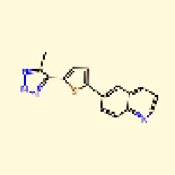 Cc1n[nH]nc1-c1ccc(-c2ccc3ncccc3c2)s1